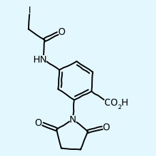 O=C(CI)Nc1ccc(C(=O)O)c(N2C(=O)CCC2=O)c1